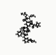 CCCN(CCC)C(=O)c1cc(NC(=O)c2cccs2)cc(C(=O)N[C@@H](Cc2ccccc2)[C@H](O)CNCc2cccc(OC)c2)c1